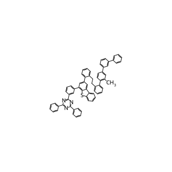 Cc1cc(-c2cccc(-c3ccccc3)c2)ccc1-c1ccccc1CCc1ccccc1-c1cc(-c2cccc(-c3nc(-c4ccccc4)nc(-c4ccccc4)n3)c2)c2sc3ccccc3c2c1